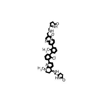 Cc1c(-c2ccn3c(=O)c(CNC[C@@H]4CCC(=O)N4)cnc3c2)cccc1-c1cccc(-c2ccc3c(n2)N(C)CCC3NC[C@@H]2CCC(=O)N2)c1Cl